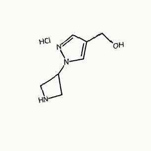 Cl.OCc1cnn(C2CNC2)c1